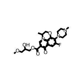 COCC(O)COC(=O)c1cn2c3c(c(N4CCN(C)CC4)c(F)cc3c1=O)OCC2C